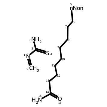 C=NC(N)=S.CCCCCCCCCCCCCCCCCC(N)=O